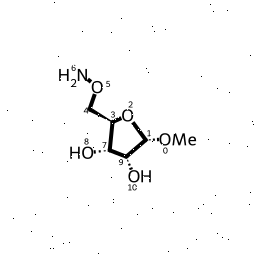 CO[C@H]1O[C@H](CON)[C@@H](O)[C@H]1O